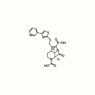 O=C(O)C1=C(CSc2nc(-c3cccnc3)cs2)C2CCN(C(=O)O)[C@@H]3C(=O)N1[C@H]23